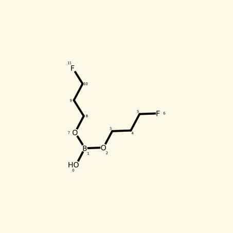 OB(OCCCF)OCCCF